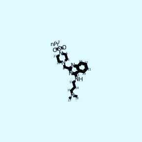 CCCS(=O)(=O)N1CCN(Cc2nc(NCCCN(C)C)c3ccccc3n2)CC1